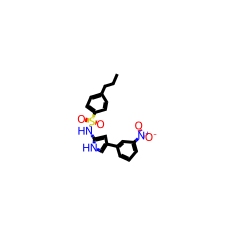 CCCc1ccc(S(=O)(=O)Nc2cc(-c3cccc([N+](=O)[O-])c3)c[nH]2)cc1